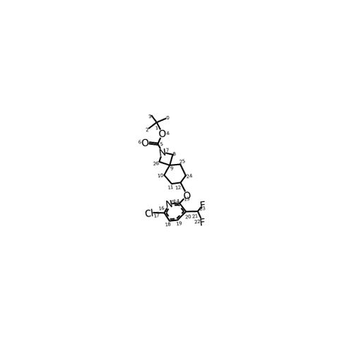 CC(C)(C)OC(=O)N1CC2(CCC(Oc3nc(Cl)ccc3C(F)F)CC2)C1